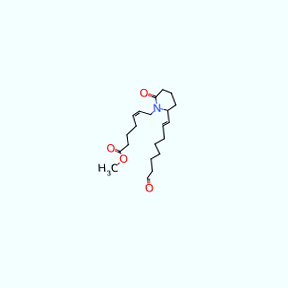 COC(=O)CCC/C=C\CN1C(=O)CCCC1/C=C/CCCCCC=O